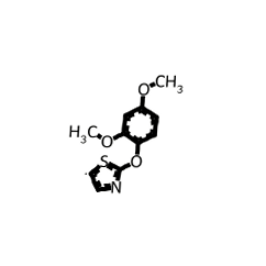 COc1ccc(Oc2nc[c]s2)c(OC)c1